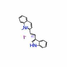 C[n+]1c(/C=C/c2c[nH]c3ccccc23)ccc2ccccc21.[I-]